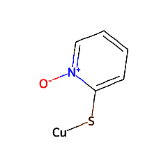 [O-][n+]1ccccc1[S][Cu]